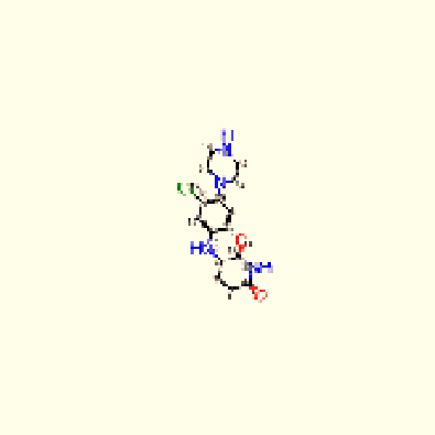 O=C1CCC(Nc2ccc(N3CCNCC3)c(Cl)c2)C(=O)N1